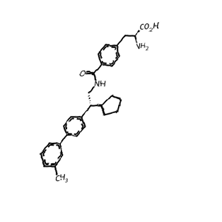 Cc1cccc(-c2ccc([C@H](CNC(=O)c3ccc(C[C@H](N)C(=O)O)cc3)C3CCCC3)cc2)c1